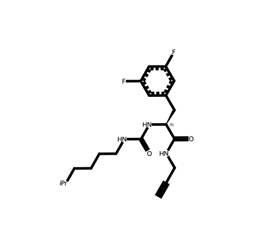 C#CCNC(=O)[C@H](Cc1cc(F)cc(F)c1)NC(=O)NCCCCC(C)C